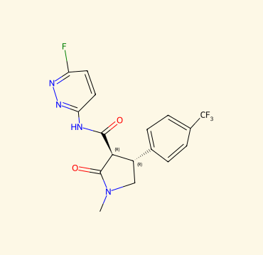 CN1C[C@@H](c2ccc(C(F)(F)F)cc2)[C@H](C(=O)Nc2ccc(F)nn2)C1=O